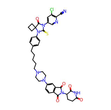 N#Cc1ncc(N2C(=O)C3(CCC3)N(c3ccc(CCCCCN4CCN(c5ccc6c(c5)C(=O)N(C5CCC(=O)NC5=O)C6=O)CC4)cc3)C2=S)cc1Cl